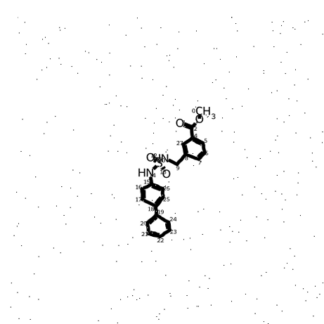 COC(=O)c1cccc(CNS(=O)(=O)Nc2ccc(-c3ccccc3)cc2)c1